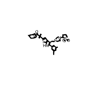 Cc1cc(C)cc(-c2[nH]c3sc(C(C)(C)C(=O)N4C5CCC4CC5)cc3c2CCN2CCN(C3CCCS3(=O)=O)CC2)c1